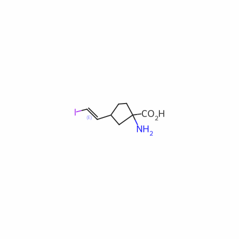 NC1(C(=O)O)CCC(/C=C/I)C1